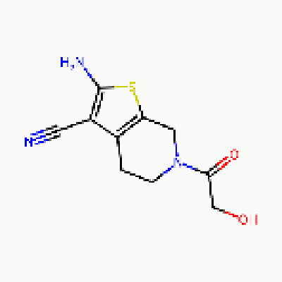 N#Cc1c(N)sc2c1CCN(C(=O)CO)C2